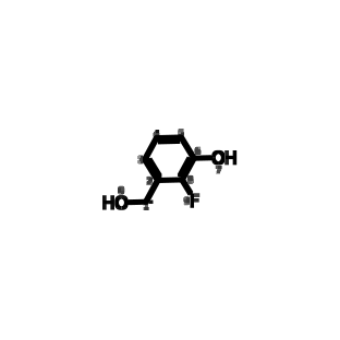 O[CH]c1cccc(O)c1F